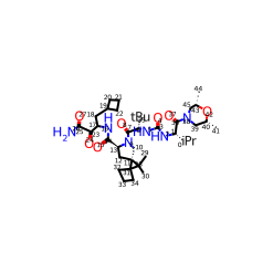 CC(C)[C@H](NC(=O)N[C@H](C(=O)N1C[C@]2(C[C@H]1C(=O)NC(CC1CCC1)C(=O)C(N)=O)C(C)(C)C21CCC1)C(C)(C)C)C(=O)N1C[C@@H](C)O[C@@H](C)C1